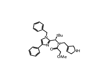 COCC(=O)N(CC1=CCNC1)[C@@H](c1nc(-c2ccccc2)cn1Cc1ccccc1)C(C)(C)C